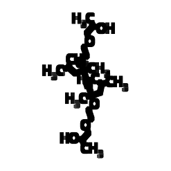 CC(C)CC(C)(C#CC(C)(CC(C)C)OCCOCC(C)O)OCCOCC(C)O